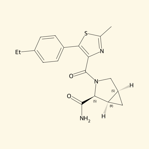 CCc1ccc(-c2sc(C)nc2C(=O)N2C[C@H]3C[C@H]3[C@H]2C(N)=O)cc1